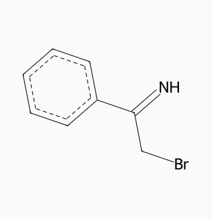 N=C(CBr)c1ccccc1